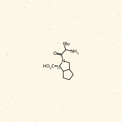 CC(C)(C)C(N)C(=O)N1CC2CCCC2[C@H]1C(=O)O